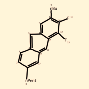 CCCCCc1ccc2cc3cc(CCCC)c(F)c(F)c3cc2c1